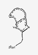 CCCCCCc1nc2ccccc2[nH]1